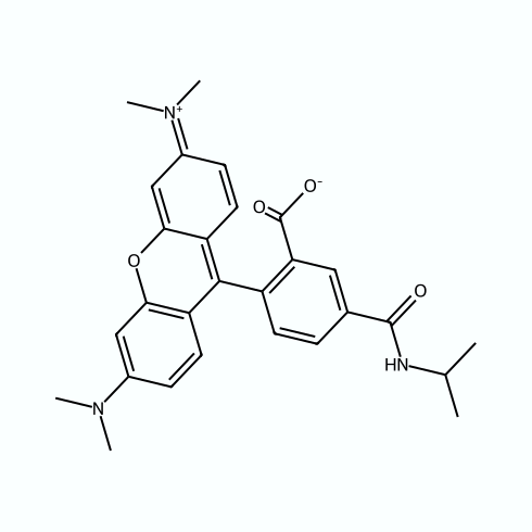 CC(C)NC(=O)c1ccc(-c2c3ccc(=[N+](C)C)cc-3oc3cc(N(C)C)ccc23)c(C(=O)[O-])c1